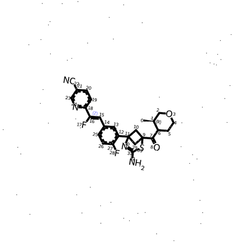 C[C@H]1COCCC1C(=O)C12CC(c3cc(/C=C(\F)c4ccc(C#N)cn4)ccc3F)(C1)N=C(N)S2